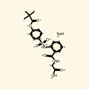 CC(C)(C)C(=O)Oc1ccc(S(=O)(=O)Nc2ccccc2C(=O)NCC(=O)O)cc1.[NaH]